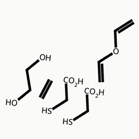 C=C.C=COC=C.O=C(O)CS.O=C(O)CS.OCCO